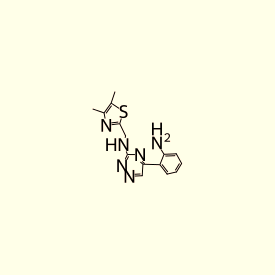 Cc1nc(CNc2nncc(-c3ccccc3N)n2)sc1C